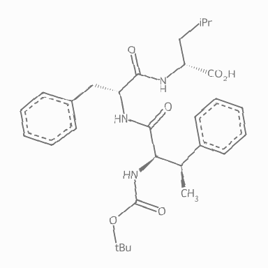 CC(C)C[C@@H](NC(=O)[C@@H](Cc1ccccc1)NC(=O)[C@H](NC(=O)OC(C)(C)C)[C@H](C)c1ccccc1)C(=O)O